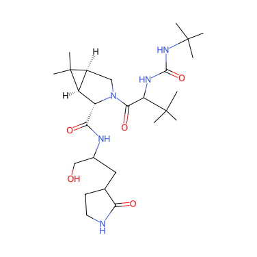 CC(C)(C)NC(=O)NC(C(=O)N1C[C@H]2[C@@H]([C@H]1C(=O)NC(CO)CC1CCNC1=O)C2(C)C)C(C)(C)C